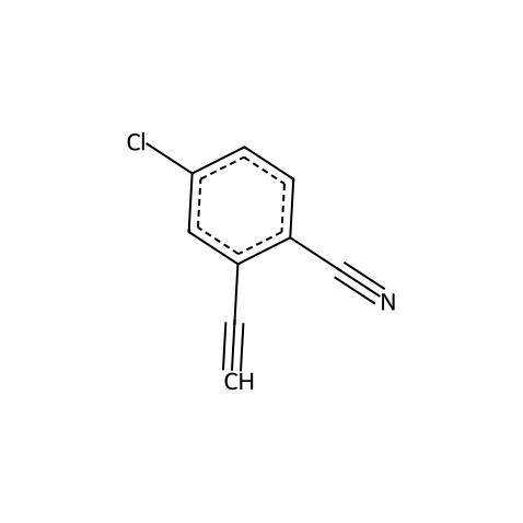 C#Cc1cc(Cl)ccc1C#N